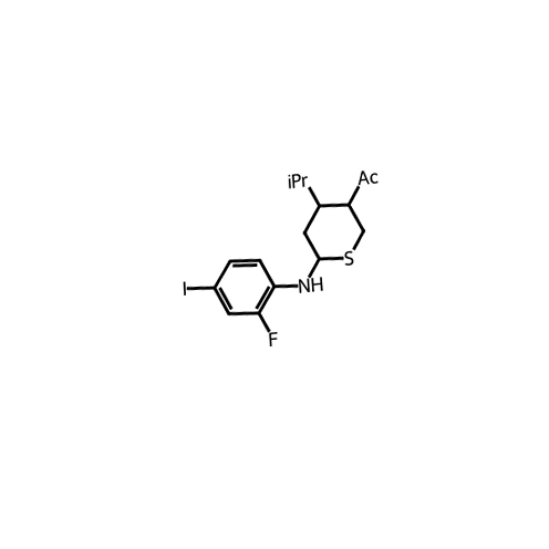 CC(=O)C1CSC(Nc2ccc(I)cc2F)CC1C(C)C